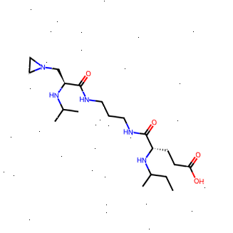 CCC(C)N[C@@H](CCC(=O)O)C(=O)NCCCNC(=O)[C@H](CN1CC1)NC(C)C